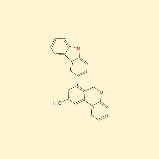 Cc1cc(-c2ccc3oc4ccccc4c3c2)c2c(c1)-c1ccccc1OC2